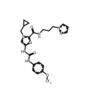 O=C(Nc1ccc(OC(F)(F)F)cc1)Nc1cn(CC2CC2)c(C(=O)NCCCn2cccn2)n1